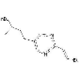 CC/C=C/c1ncc(CCC(C)CCCC)cn1